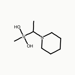 CC(N1CCCCC1)[Si](C)(O)O